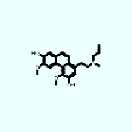 C=CCN(C)CCc1cc(O)c(OC)c2c1ccc1cc(O)c(OC)cc12